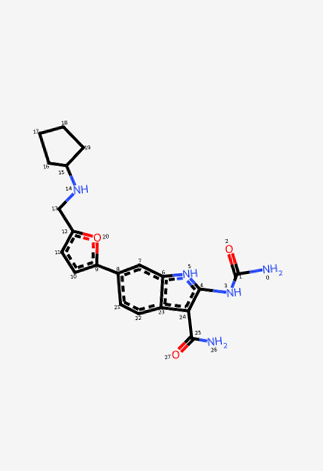 NC(=O)Nc1[nH]c2cc(-c3ccc(CNC4CCCC4)o3)ccc2c1C(N)=O